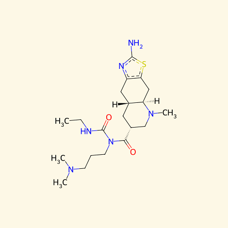 CCNC(=O)N(CCCN(C)C)C(=O)[C@@H]1C[C@@H]2Cc3nc(N)sc3C[C@H]2N(C)C1